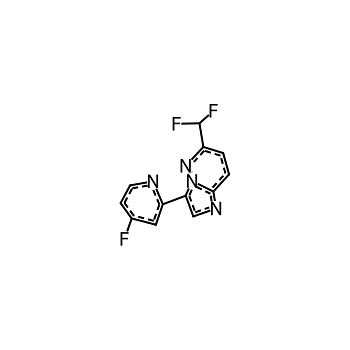 Fc1ccnc(-c2cnc3ccc(C(F)F)nn23)c1